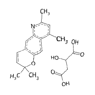 Cc1cc(C)c2cc3c(cc2n1)C=CC(C)(C)O3.O=C(O)CC(O)C(=O)O